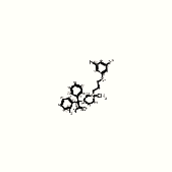 C[N+]1(CCCSc2cc(F)cc(F)c2)CC[C@@H](C(C(N)=O)(c2ccccc2)c2ccccc2)C1